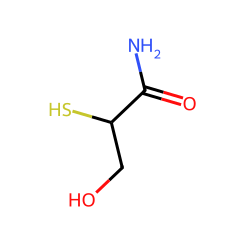 NC(=O)C(S)CO